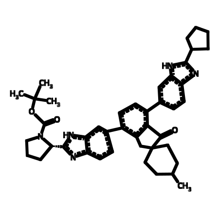 CC1CCC2(CC1)Cc1c(-c3ccc4nc([C@@H]5CCCN5C(=O)OC(C)(C)C)[nH]c4c3)ccc(-c3ccc4nc(C5CCCC5)[nH]c4c3)c1C2=O